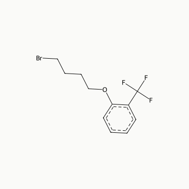 FC(F)(F)c1ccccc1OCCCCBr